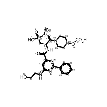 CCCCOP(=O)(O)C[C@H](NC(=O)c1cc(NCCO)nc(-c2ccccc2)n1)C(=O)N1CCN(OC(=O)O)CC1